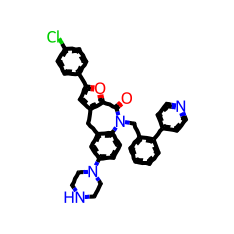 O=C1c2oc(-c3ccc(Cl)cc3)cc2Cc2cc(N3CCNCC3)ccc2N1Cc1ccccc1-c1ccncc1